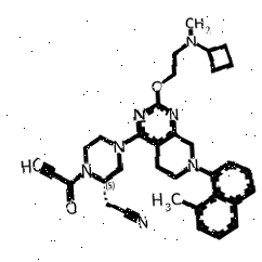 C#CC(=O)N1CCN(c2nc(OCCN(C)C3CCC3)nc3c2CCN(c2cccc4cccc(C)c24)C3)C[C@@H]1CC#N